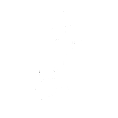 CN(CCCn1cnc2ccc(F)c(Br)c21)C(=O)OC(C)(C)C